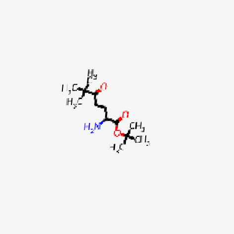 CC(C)(C)OC(=O)C(N)CCC(=O)C(C)(C)C